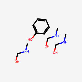 CNCO.CNCO.CNCO.Oc1ccccc1